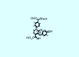 CCCCCN(C=O)c1ccc(N2CCC(C(=N)C(=O)O)=C(Nc3ccc(O)cc3)C2=O)cc1